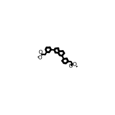 COC(=O)Cc1cccc(-c2ccc3ccc(-c4cccc(CC(=O)OC)c4)cc3c2)c1